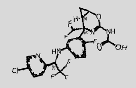 O=C(O)NC1=N[C@@](c2cc(N[C@H](c3ccc(Cl)cn3)C(F)(F)F)ccc2F)(C(F)F)[C@H]2CC2O1